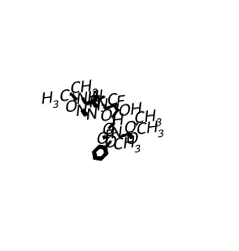 CC(C)OC(=O)[C@H](C)N[P@@](=O)(OC[C@H]1O[C@@H](n2cnc3c(NC(=O)C(C)C)ncnc32)[C@](C)(F)[C@@H]1O)Oc1ccccc1